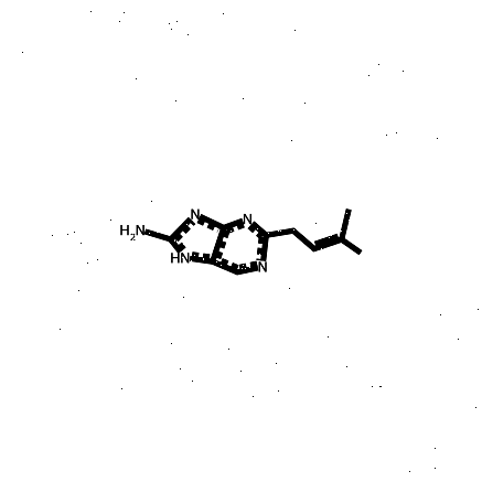 CC(C)=CCc1ncc2[nH]c(N)nc2n1